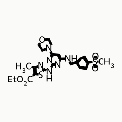 CCOC(=O)c1sc(Nc2nc(NCc3ccc(S(C)(=O)=O)cc3)cc(N3CCOCC3)n2)nc1C